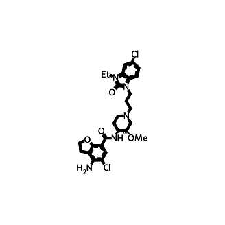 CCn1c(=O)n(CCCN2CC[C@H](NC(=O)c3cc(Cl)c(N)c4c3OCC4)[C@H](OC)C2)c2ccc(Cl)cc21